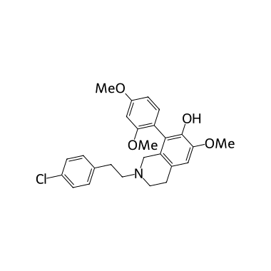 COc1ccc(-c2c(O)c(OC)cc3c2CN(CCc2ccc(Cl)cc2)CC3)c(OC)c1